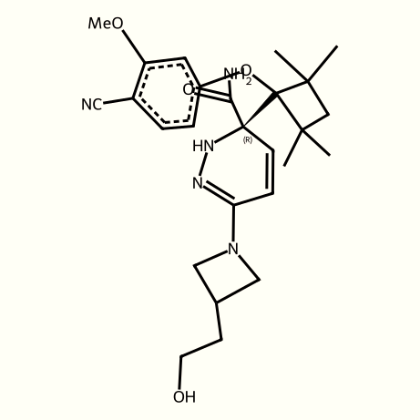 COc1cc(OC2([C@@]3(C(N)=O)C=CC(N4CC(CCO)C4)=NN3)C(C)(C)CC2(C)C)ccc1C#N